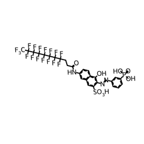 O=C(CCC(F)(F)C(F)(F)C(F)(F)C(F)(F)C(F)(F)C(F)(F)C(F)(F)C(F)(F)F)Nc1ccc2c(O)c(/N=N/c3cccc(P(=O)(O)O)c3)c(S(=O)(=O)O)cc2c1